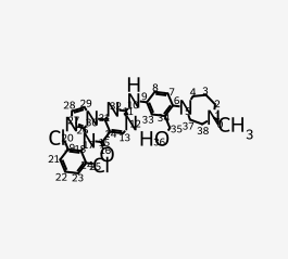 CN1CCCN(c2ccc(Nc3ncc4c(=O)n(-c5c(Cl)cccc5Cl)c5nccn5c4n3)cc2CO)CC1